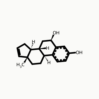 C[C@@]12C=CC[C@H]1[C@@H]1C[C@@H](O)c3cc(O)ccc3[C@H]1CC2